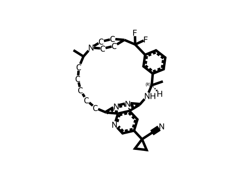 CC1CCCCCc2nnc(c3cc(C4(C#N)CC4)cnc23)N[C@H](C)c2cccc(c2)C(F)(F)C2CCN1CC2